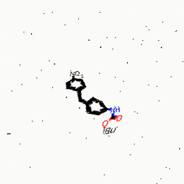 CC(C)(C)OC(=O)Nc1ccc(Cc2ccc([N+](=O)[O-])cc2)cc1